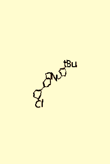 CC(C)(C)c1ccc(Cn2ccc3cc(-c4cccc(Cl)c4)ccc32)cc1